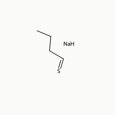 CCCC=S.[NaH]